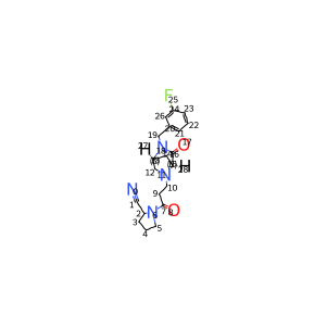 N#CC1CCCN1C(=O)CCN1C[C@@H]2C[C@H]1C(=O)N2Cc1cccc(F)c1